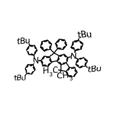 CC(C)(C)c1ccc(N(c2ccc(C(C)(C)C)cc2)c2ccc3c(c2)C(c2ccccc2)(c2ccccc2)c2cc(N(c4ccc(C(C)(C)C)cc4)c4ccc(C(C)(C)C)cc4)c4c(c2-3)C(C)(C)c2ccccc2-4)cc1